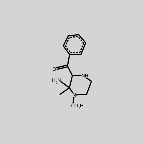 CC1(N)C(C(=O)c2ccccc2)NCCN1C(=O)O